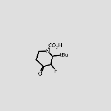 CC(C)(C)C1C(F)C(=O)CCN1C(=O)O